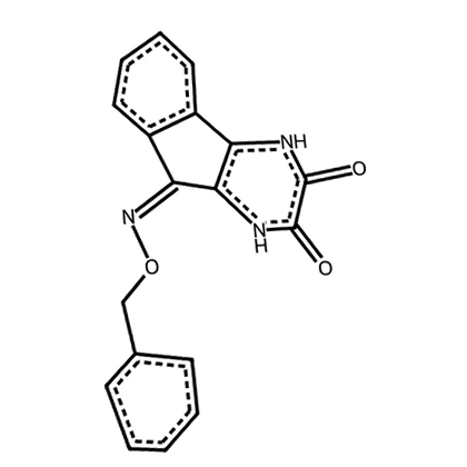 O=c1[nH]c2c([nH]c1=O)-c1ccccc1/C2=N/OCc1ccccc1